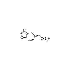 O=C(O)/C=C1\C=Cc2ocnc2C1